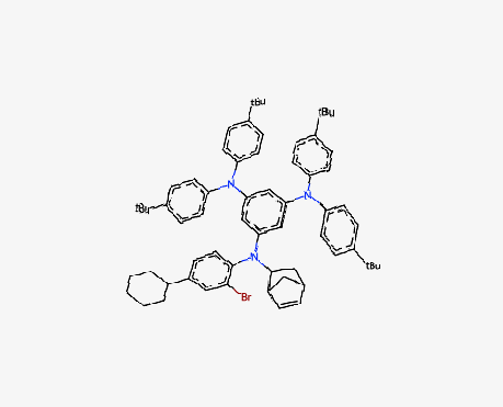 CC(C)(C)c1ccc(N(c2ccc(C(C)(C)C)cc2)c2cc(N(c3ccc(C(C)(C)C)cc3)c3ccc(C(C)(C)C)cc3)cc(N(c3ccc(C4CCCCC4)cc3Br)C3CC4C=CC3C4)c2)cc1